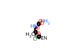 Cc1cc(CC(=O)Nc2ccc(S(N)(=O)=O)cc2)cc(Oc2cc(Cl)cc(C#N)c2)c1C